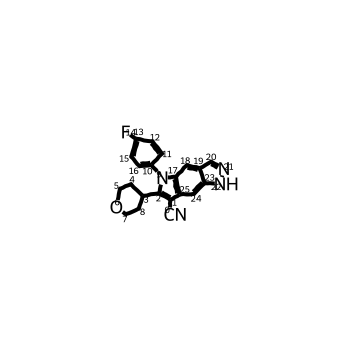 N#Cc1c(C2CCOCC2)n(-c2ccc(F)cc2)c2cc3cn[nH]c3cc12